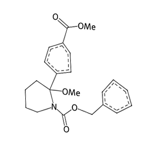 COC(=O)c1ccc(C2(OC)CCCCN2C(=O)OCc2ccccc2)cc1